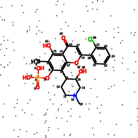 Bc1c(OP(=O)(O)O)c(C2CCN(C)CC2O)c2oc(-c3ccccc3Cl)cc(=O)c2c1O